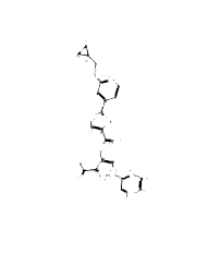 NC(=O)c1nn(-c2cnccn2)cc1NC(=O)c1coc(-c2ccnc(NCC3CC3)c2)n1